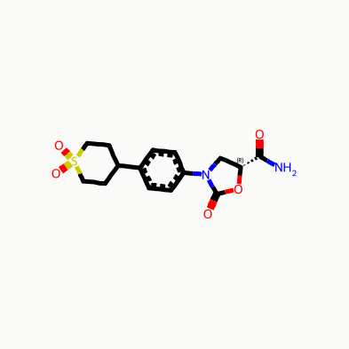 NC(=O)[C@H]1CN(c2ccc(C3CCS(=O)(=O)CC3)cc2)C(=O)O1